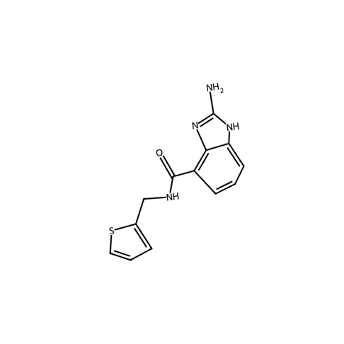 Nc1nc2c(C(=O)NCc3cccs3)cccc2[nH]1